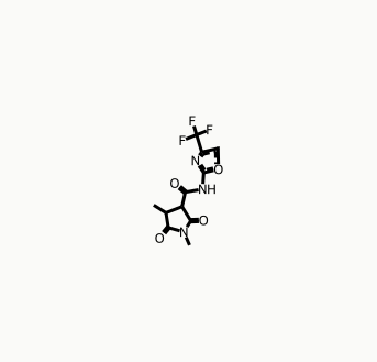 CC1C(=O)N(C)C(=O)C1C(=O)Nc1nc(C(F)(F)F)co1